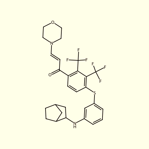 O=C(C=CN1CCOCC1)c1ccc(Sc2cccc(NC3CC4CCC3C4)c2)c(C(F)(F)F)c1C(F)(F)F